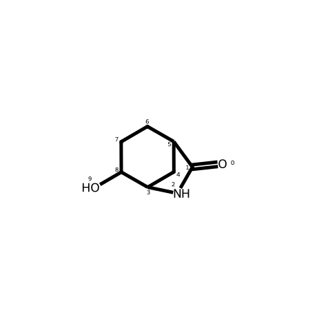 O=C1NC2CC1CCC2O